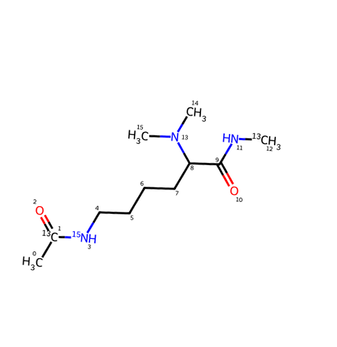 C[13C](=O)[15NH]CCCCC(C(=O)N[13CH3])N(C)C